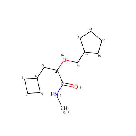 CNC(=O)C(CC1CCC1)OCC1CCCC1